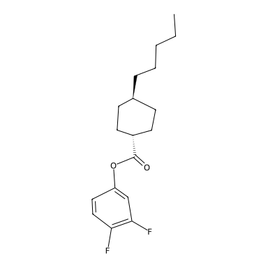 CCCCC[C@H]1CC[C@H](C(=O)Oc2ccc(F)c(F)c2)CC1